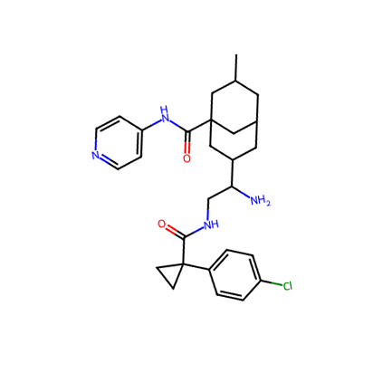 CC1CC2CC(C(N)CNC(=O)C3(c4ccc(Cl)cc4)CC3)CC(C(=O)Nc3ccncc3)(C1)C2